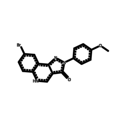 COc1ccc(-n2nc3c4cc(Br)ccc4[nH]cc-3c2=O)cc1